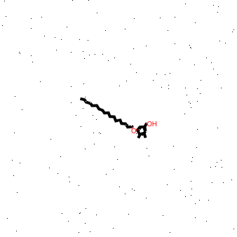 CCCCCCCCCCCCCCCCCCOc1cc(CO)cc(C)c1C